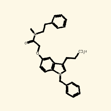 CN(CCc1ccccc1)C(=O)COc1ccc2c(c1)c(CCC(=O)O)cn2Cc1ccccc1